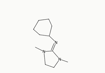 CN1CCN(C)C1=NC1CCCCC1